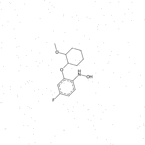 COC1CCCCC1Oc1cc(F)ccc1NO